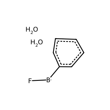 F[B]c1ccccc1.O.O